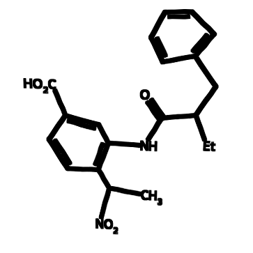 CCC(Cc1ccccc1)C(=O)Nc1cc(C(=O)O)ccc1C(C)[N+](=O)[O-]